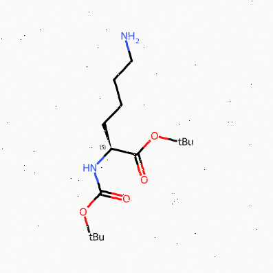 CC(C)(C)OC(=O)N[C@@H](CCCCN)C(=O)OC(C)(C)C